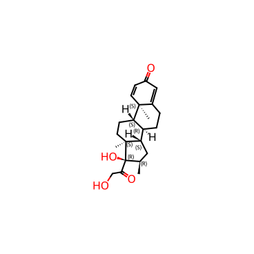 C[C@@H]1C[C@H]2[C@@H]3CCC4=CC(=O)C=C[C@]4(C)[C@H]3CC[C@]2(C)[C@@]1(O)C(=O)CO